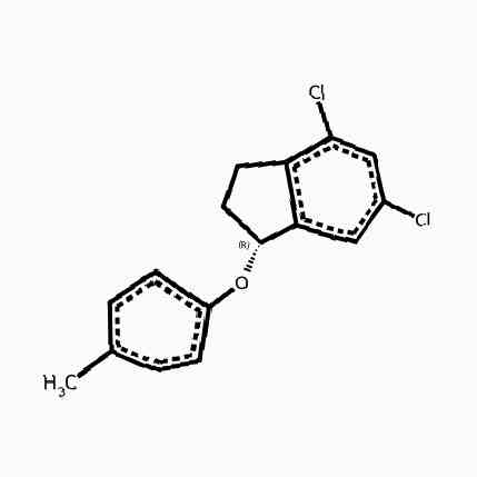 Cc1ccc(O[C@@H]2CCc3c(Cl)cc(Cl)cc32)cc1